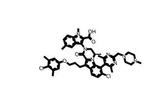 Cc1ccc2c(c1)c(N1C[C@@H](C)n3c(c(CCCOc4cc(C)c(Cl)c(C)c4)c4ccc(Cl)c(-c5c(C)nc(CN6CCN(C)CC6)nc5C)c43)C1=O)c(C(=O)O)n2C